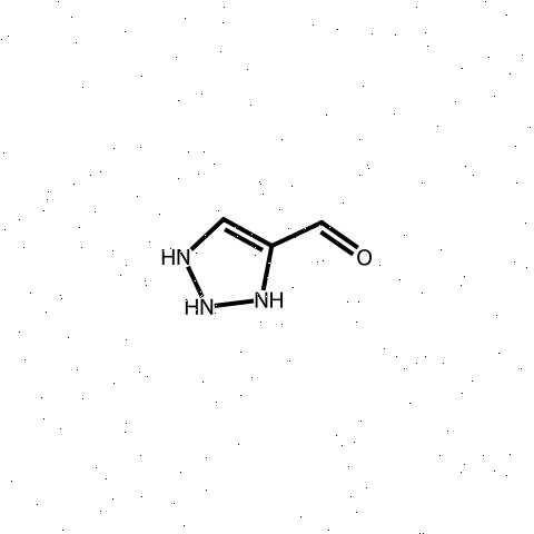 O=CC1=CNNN1